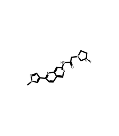 Cn1cc(-c2ccc3cnc(NC(=O)CN4CC[C@@H](F)C4)cc3n2)cn1